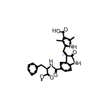 COC(=O)C(Cc1ccccc1)NC(=O)c1ccc2c(c1)/C(=C/c1[nH]c(C)c(C(=O)O)c1C)C(=O)N2